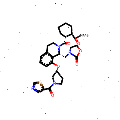 CNC(=O)[C@H]1CCCC[C@H]1C(=O)N1CCc2cccc(O[C@H]3CCN(C(=O)c4cncs4)C3)c2[C@H]1CN1CCOC1=O